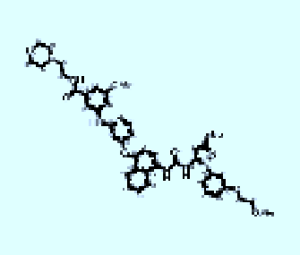 CCCCc1cc(NC(=O)Nc2ccc(Oc3ccnc(Nc4cc(OC)cc(C(=O)NCCN5CCOCC5)c4)n3)c3ccccc23)n(-c2cccc(OCCOC)c2)n1